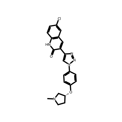 CN1CC[C@@H](Oc2ccc(-n3cc(-c4cc5cc(Cl)ccc5[nH]c4=O)nn3)cc2)C1